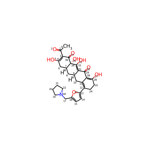 CC(=O)C1=C(O)C[C@@H]2C[C@@H]3CC4=C(c5ccc(CN6CCCC6)o5)CCC(O)=C4C(=O)C3=C(O)[C@]2(O)C1=O